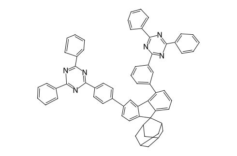 c1ccc(-c2nc(-c3ccccc3)nc(-c3ccc(-c4ccc5c(c4)-c4c(-c6cccc(-c7nc(-c8ccccc8)nc(-c8ccccc8)n7)c6)cccc4C54C5CC6CC(C5)CC4C6)cc3)n2)cc1